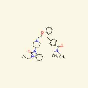 CCN(CC)C(=O)c1ccc(Cc2ccccc2OCCN2CCC(n3c(=O)n(CC4CC4)c4ccccc43)CC2)cc1